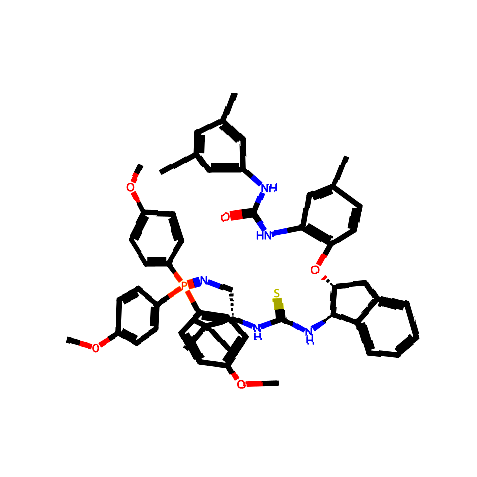 COc1ccc(P(=NC[C@H](NC(=S)N[C@@H]2c3ccccc3C[C@H]2Oc2ccc(C)cc2NC(=O)Nc2cc(C)cc(C)c2)C(C)(C)C)(c2ccc(OC)cc2)c2ccc(OC)cc2)cc1